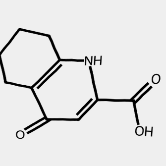 O=C(O)c1cc(=O)c2c([nH]1)CCCC2